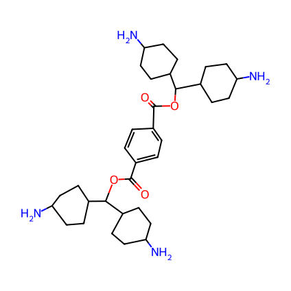 NC1CCC(C(OC(=O)c2ccc(C(=O)OC(C3CCC(N)CC3)C3CCC(N)CC3)cc2)C2CCC(N)CC2)CC1